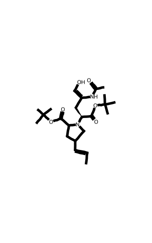 CC=CC1CC(C(=O)OC(C)(C)C)N([C@@H](CC(=CO)NC(C)=O)C(=O)OC(C)(C)C)C1